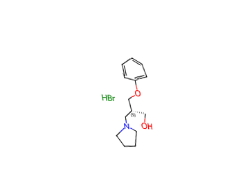 Br.OC[C@@H](COc1ccccc1)CN1CCCC1